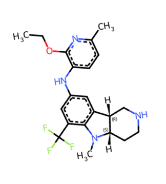 CCOc1nc(C)ccc1Nc1cc2c(c(C(F)(F)F)c1)N(C)[C@H]1CCNC[C@@H]21